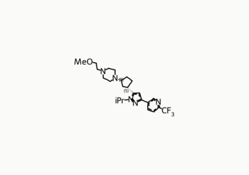 COCCN1CCN([C@@H]2CC[C@H](c3cc(-c4ccc(C(F)(F)F)nc4)nn3C(C)C)C2)CC1